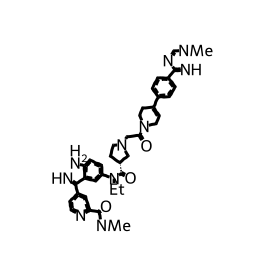 CCN(C(=O)[C@@H]1CCN(CC(=O)N2CC=C(c3ccc(C(=N)/N=C\NC)cc3)CC2)C1)c1ccc(N)c(C(=N)c2ccnc(C(=O)NC)c2)c1